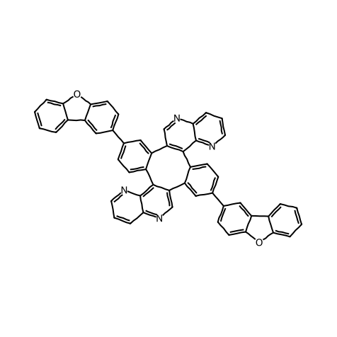 c1cnc2c3c(cnc2c1)-c1cc(-c2ccc4oc5ccccc5c4c2)ccc1-c1c(cnc2cccnc12)-c1cc(-c2ccc4oc5ccccc5c4c2)ccc1-3